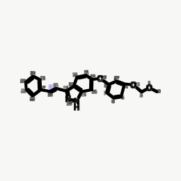 COCOc1cccc(Oc2ccc3c(/C=C/c4ccccc4)n[nH]c3c2)c1